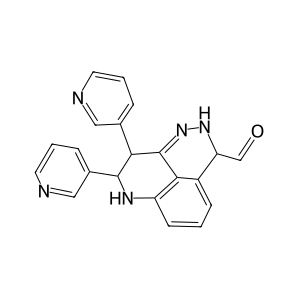 O=CC1NN=C2c3c(cccc31)NC(c1cccnc1)C2c1cccnc1